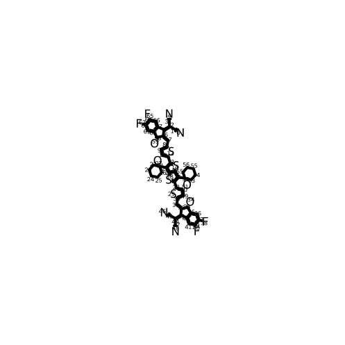 N#CC(C#N)=C1/C(=C/c2cc3c(s2)-c2sc4c5c(sc4c2C2(CCCCC2)O3)-c2sc(/C=C3\C(=O)c4cc(F)c(F)cc4C3=C(C#N)C#N)cc2OC52CCCCC2)C(=O)c2cc(F)c(F)cc21